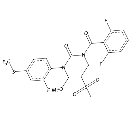 COCN(C(=O)N(CCS(C)(=O)=O)C(=O)c1c(F)cccc1F)c1ccc(SC(F)(F)F)cc1F